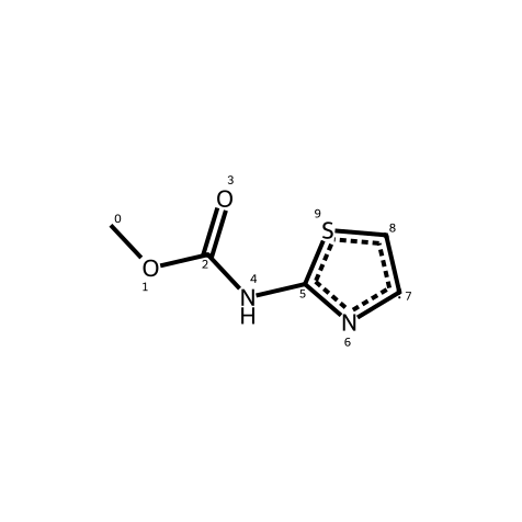 COC(=O)Nc1n[c]cs1